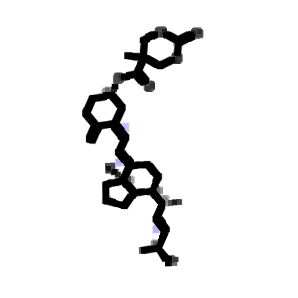 C=C1CC[C@H](OC(=O)C2(C)COC(=O)OC2)C/C1=C/C=C1\CC[C@@H]([C@H](C)/C=C/[C@H](C)C(C)C)C2CCC[C@@H]12